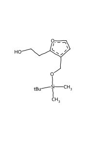 CC(C)(C)[Si](C)(C)OCc1ccoc1CCO